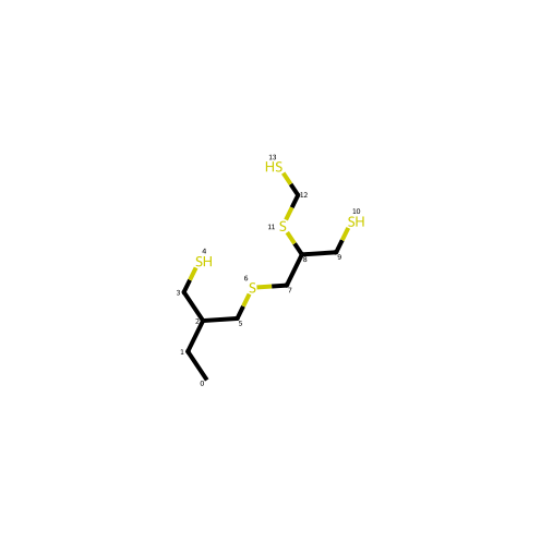 CCC(CS)CSCC(CS)SCS